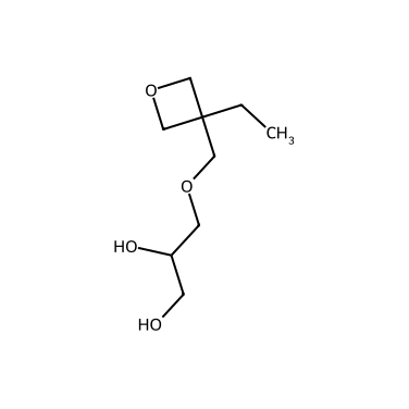 CCC1(COCC(O)CO)COC1